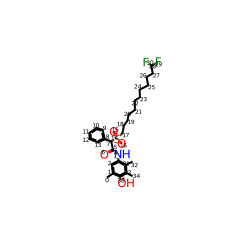 Cc1cc(NC(=O)C(c2ccccc2)S(=O)(=O)CCCCCCCCCCCC(F)F)c(C)c(C)c1O